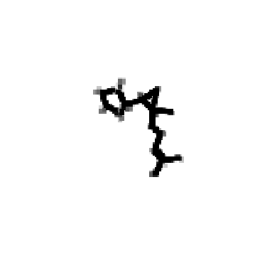 CC(C)=CCCC1(C)CC1C1OCCO1